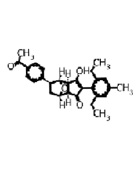 CCc1cc(C)cc(CC)c1C1=C(O)[C@@H]2[C@@H]3O[C@@H](C[C@H]3c3ccc(C(C)=O)cc3)[C@@H]2C1=O